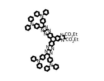 CCOC(=O)c1nc2cc3c(cc2nc1C(=O)OCC)c1cc2nc4nc(-c5ccc(N(c6ccccc6)c6ccccc6)cc5)c(-c5ccc(N(c6ccccc6)c6ccccc6)cc5)nc4nc2cc1c1cc2nc4nc(-c5ccc(N(c6ccccc6)c6ccccc6)cc5)c(-c5ccc(N(c6ccccc6)c6ccccc6)cc5)nc4nc2cc31